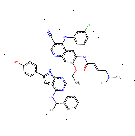 CC(Nc1ncnc2[nH]c(-c3ccc(O)cc3)cc12)c1ccccc1.CCOc1cc2ncc(C#N)c(Nc3ccc(F)c(Cl)c3)c2cc1NC(=O)C=CCN(C)C